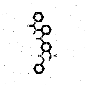 CN(C(=O)c1ccccc1)c1ccccc1N(C)c1ccc([N+](=O)[O-])c(NCc2ccccc2)c1